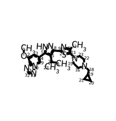 COc1cc(-c2[nH]nc(-c3nc(C)c(N4CCN(CC5CC5)CC4)s3)c2C(C)C)cn2ncnc12